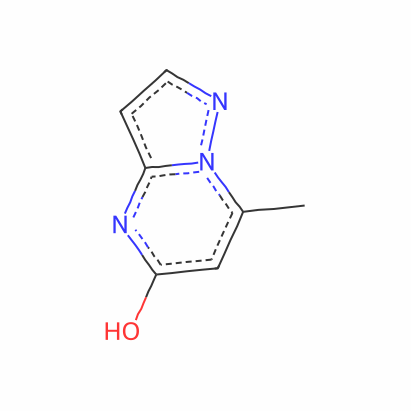 Cc1cc(O)nc2ccnn12